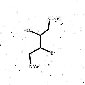 CCOC(=O)CC(O)C(Br)CNC